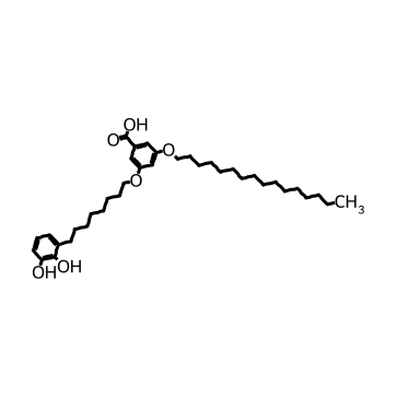 CCCCCCCCCCCCCCCCOc1cc(OCCCCCCCCc2cccc(O)c2O)cc(C(=O)O)c1